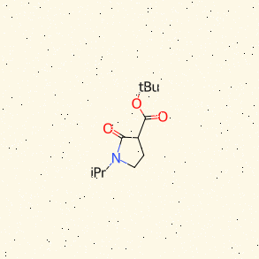 CC(C)N1CCC(C(=O)OC(C)(C)C)C1=O